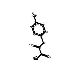 CCC(C)C(=O)C(=O)Cc1ccc(O)cc1